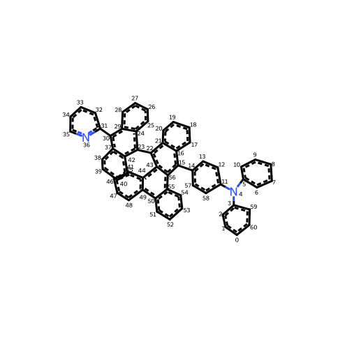 c1ccc(N(c2ccccc2)c2ccc(-c3c4ccccc4c(-c4c5ccccc5c(-c5ccccn5)c5ccccc45)c4c5ccccc5c5ccccc5c34)cc2)cc1